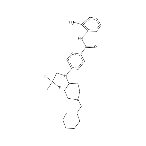 Nc1ccccc1NC(=O)c1ccc(N(CC(F)(F)F)C2CCN(CC3CCCCC3)CC2)cc1